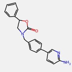 Nc1ccc(-c2ccc(CN3CC(c4ccccc4)OC3=O)cc2)cn1